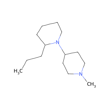 CCCC1CCCCN1C1CCN(C)CC1